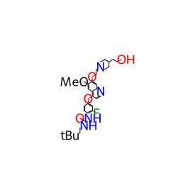 COc1cc2c(Oc3ccc(NC(=O)NCCC(C)(C)C)c(F)c3)ccnc2cc1OCCN1CCC(CCO)CC1